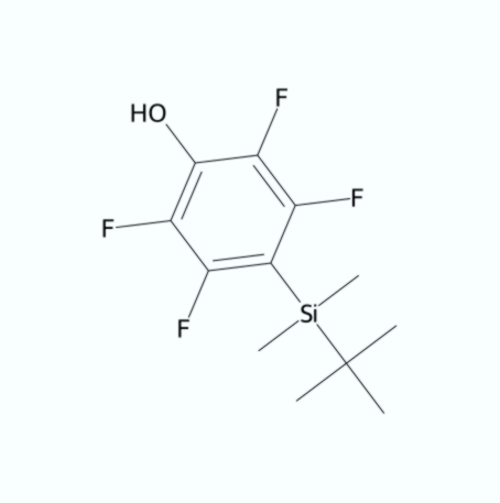 CC(C)(C)[Si](C)(C)c1c(F)c(F)c(O)c(F)c1F